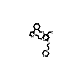 CCCn1nccc1C1CCCCC1COc1cnc(OCCN2CCOCC2)cc1C=O